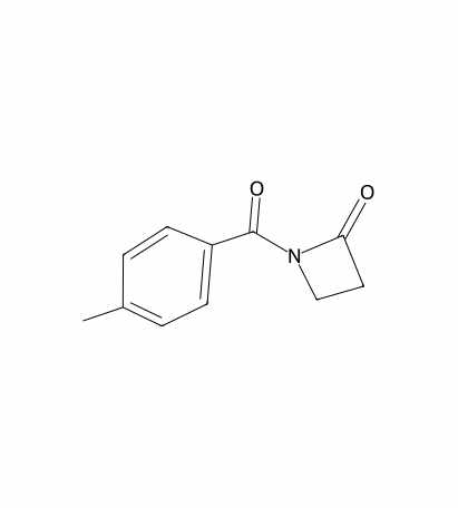 Cc1ccc(C(=O)N2CCC2=O)cc1